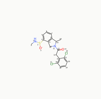 CN[S+]([O-])c1cccc2c1CN(C(=O)Cc1c(Cl)cccc1Cl)C2C